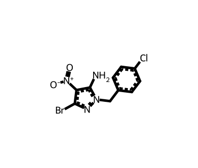 Nc1c([N+](=O)[O-])c(Br)nn1Cc1ccc(Cl)cc1